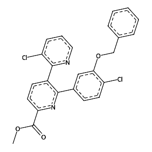 COC(=O)c1ccc(-c2ncccc2Cl)c(-c2ccc(Cl)c(OCc3ccccc3)c2)n1